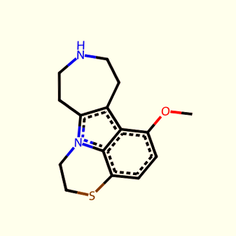 COc1ccc2c3c1c1c(n3CCS2)CCNCC1